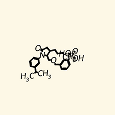 CCCCC1CC(=O)N(c2cccc(C(C)C)c2)C1COCc1cccc(P(=O)(O)O)c1